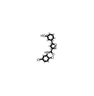 O=C(Nc1cc(Cl)ccc1Cl)c1cc(-c2cccc(O)c2)on1